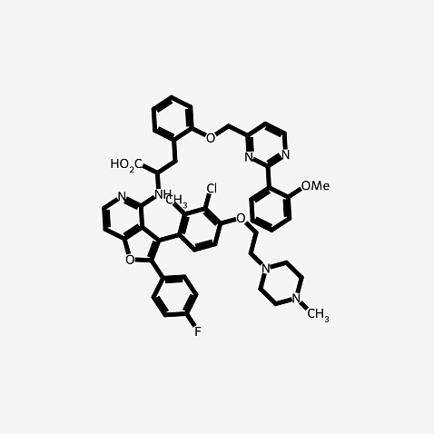 COc1ccccc1-c1nccc(COc2ccccc2CC(Nc2nccc3oc(-c4ccc(F)cc4)c(-c4ccc(OCCN5CCN(C)CC5)c(Cl)c4C)c23)C(=O)O)n1